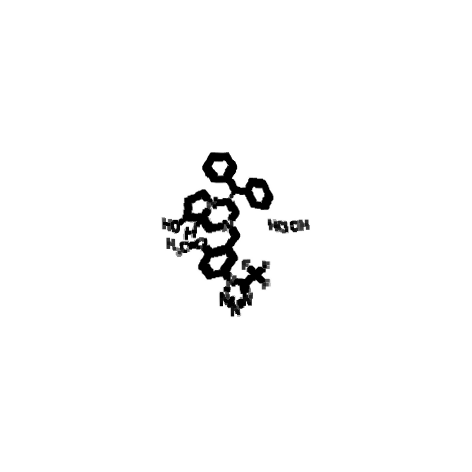 COc1ccc(-n2nnnc2C(F)(F)F)cc1CN1C[C@@H]2[C@@H](O)CCN2[C@H](C(c2ccccc2)c2ccccc2)C1.Cl.Cl